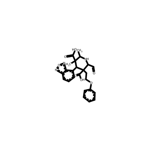 CC1NC(C=O)C(CCOc2ccccc2)(C(=O)O)C(c2cccc3nonc23)C1(C)C(=O)O